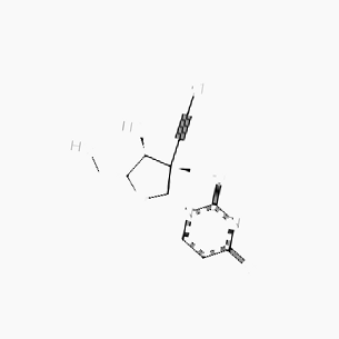 O=c1ccn([C@@H]2O[C@H](CO)[C@@H](O)[C@]2(O)C#CCl)c(=O)[nH]1